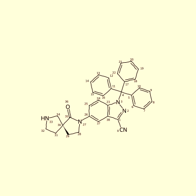 N#Cc1nn(C(c2ccccc2)(c2ccccc2)c2ccccc2)c2ccc(N3CC[C@]4(CCNC4)C3=O)cc12